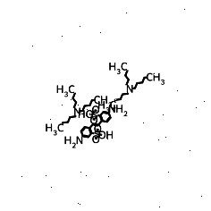 CCCCCN(CCCCC)CCCCC.CCCCCN(CCCCC)CCCCC.Nc1ccc(C=Cc2ccc(N)cc2S(=O)(=O)O)c(S(=O)(=O)O)c1